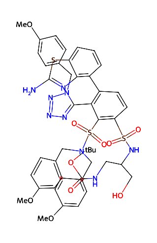 COc1ccc(CN(Cc2ccc(OC)cc2)S(=O)(=O)c2c(S(=O)(=O)NC(CO)CNC(=O)OC(C)(C)C)ccc(-c3cccc4sc(N)nc34)c2-c2nnnn2Cc2ccc(OC)cc2)cc1